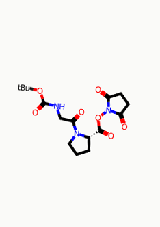 CC(C)(C)OC(=O)NCC(=O)N1CCC[C@H]1C(=O)ON1C(=O)CCC1=O